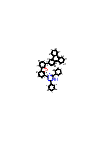 c1ccc(C2=NC(c3cccc4c3oc3c(-c5ccc6c7ccccc7c7ccccc7c6c5)cccc34)=NC(c3ccccc3)N2)cc1